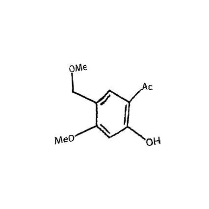 COCc1cc(C(C)=O)c(O)cc1OC